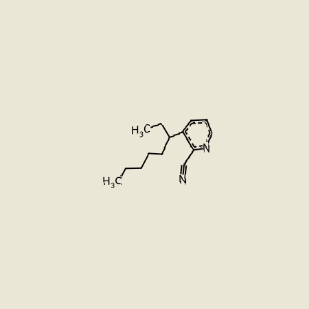 CCCCCC(CC)c1cccnc1C#N